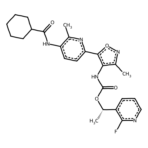 Cc1nc(-c2onc(C)c2NC(=O)O[C@@H](C)c2cccnc2F)ccc1NC(=O)C1CCCCC1